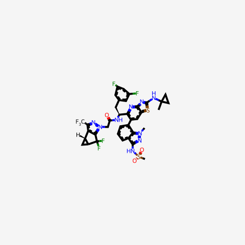 Cn1nc(NS(C)(=O)=O)c2cccc(-c3cc4sc(NC5(C)CC5)nc4nc3[C@H](Cc3cc(F)cc(F)c3)NC(=O)Cn3nc(C(F)(F)F)c4c3C(F)(F)C3C[C@H]43)c21